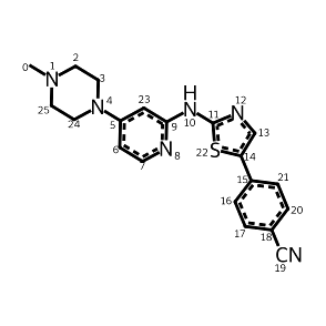 CN1CCN(c2ccnc(Nc3ncc(-c4ccc(C#N)cc4)s3)c2)CC1